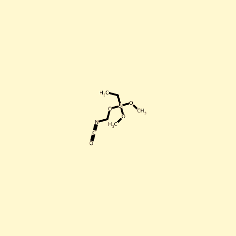 CC[Si](OC)(OC)OCN=C=O